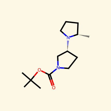 C[C@H]1CCCN1[C@@H]1CCN(C(=O)OC(C)(C)C)C1